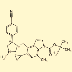 Cc1cc(C2CC2)c(C[C@@H]2CN(C)C[C@H]2c2ccc(C#N)cc2)c2ccn(C(=O)OC(C)(C)C)c12